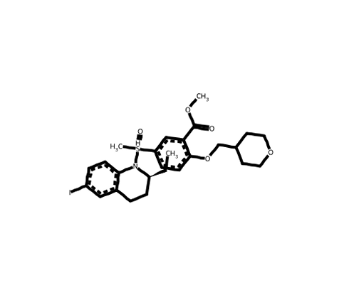 CC[C@H]1CCc2cc(I)ccc2N1[SH](C)(=O)c1ccc(OCC2CCOCC2)c(C(=O)OC)c1